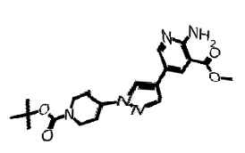 COC(=O)c1cc(-c2cnn(C3CCN(C(=O)OC(C)(C)C)CC3)c2)cnc1N